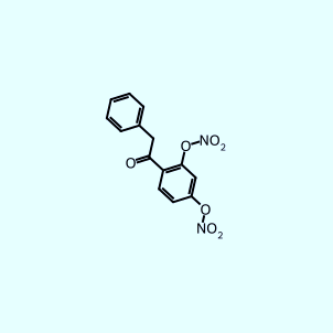 O=C(Cc1ccccc1)c1ccc(O[N+](=O)[O-])cc1O[N+](=O)[O-]